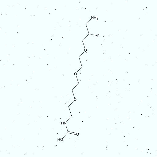 NCC(F)COCCOCCOCCNC(=O)O